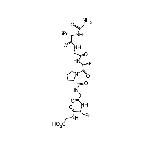 CC(C)[C@H](NC(=O)CN)C(=O)NCC(=O)N[C@H](C(=O)N1CCC[C@H]1C(=O)NCC(=O)N[C@H](C(=O)NCC(=O)O)C(C)C)C(C)C